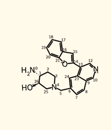 N[C@@H]1CCN(Cc2ccc3cncc(-c4cc5ccccc5o4)c3c2)C[C@H]1O